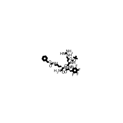 CC(C)(C)OC(=O)N[C@H](CCCNC(=N)N)C(=O)N[C@@H](Cc1c(F)c(F)c(F)c(F)c1F)C(=O)N[C@@H](CCCCNC(=O)OCc1ccccc1)C(N)=O